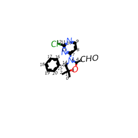 CC1(C)OC(C=O)N(c2ccnc(Cl)n2)[C@H]1c1ccccc1